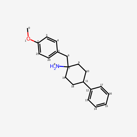 COc1ccc(CC2(N)CCC(c3ccccc3)CC2)cc1